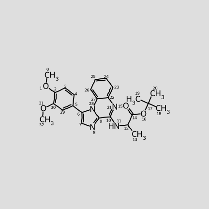 COc1ccc(-c2cnc3c(NC(C)C(=O)OC(C)(C)C)nc4ccccc4n23)cc1OC